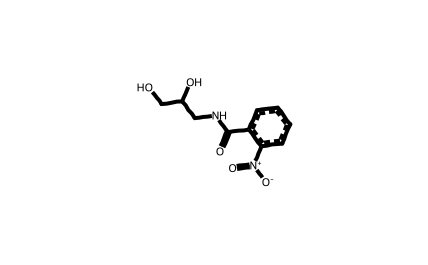 O=C(NCC(O)CO)c1ccccc1[N+](=O)[O-]